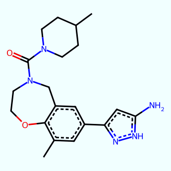 Cc1cc(-c2cc(N)[nH]n2)cc2c1OCCN(C(=O)N1CCC(C)CC1)C2